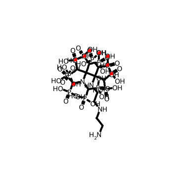 NCCNCCNC(C(P(=O)(O)O)P(=O)(O)O)(C(P(=O)(O)O)P(=O)(O)O)C(C(P(=O)(O)O)P(=O)(O)O)(C(P(=O)(O)O)P(=O)(O)O)N(C(P(=O)(O)O)P(=O)(O)O)C(P(=O)(O)O)P(=O)(O)O